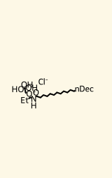 CCCCCCCCCCCCCCCCCCCCCC(=O)NC(CC)[O+]=CC(O)(O)O.[Cl-]